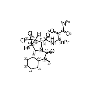 C=NC(=O)C(=O)C(CCC)NC(=O)[C@@H]1[C@@H]2[C@H](CN1C(=O)[C@@H](C)C1CCCCC1)C2(Cl)Cl